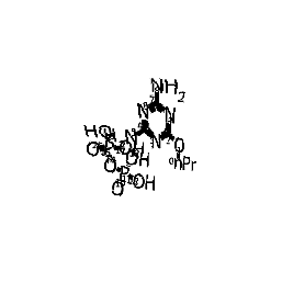 CCCOc1nc(N)nc(N)n1.O=P(O)(O)OP(=O)(O)O